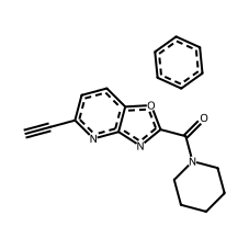 C#Cc1ccc2oc(C(=O)N3CCCCC3)nc2n1.c1ccccc1